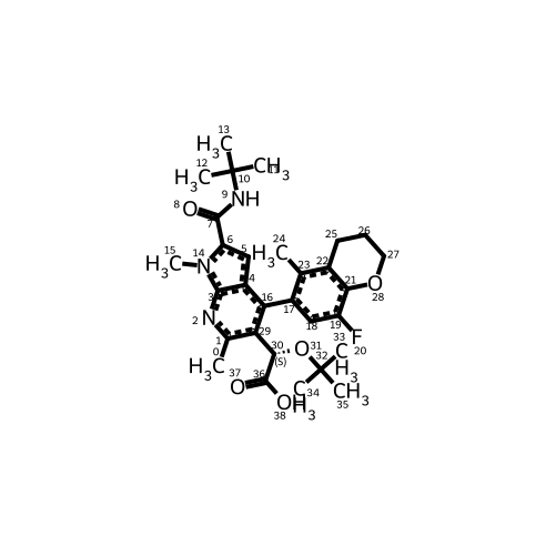 Cc1nc2c(cc(C(=O)NC(C)(C)C)n2C)c(-c2cc(F)c3c(c2C)CCCO3)c1[C@H](OC(C)(C)C)C(=O)O